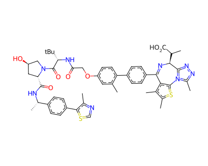 Cc1cc(OCC(=O)N[C@H](C(=O)N2C[C@H](O)C[C@H]2C(=O)N[C@@H](C)c2ccc(-c3scnc3C)cc2)C(C)(C)C)ccc1-c1ccc(C2=N[C@@H](C(C)C(=O)O)c3nnc(C)n3-c3sc(C)c(C)c32)cc1